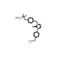 CC(C)(Oc1ccc(Cn2ncn(-c3ccc(OC(F)(F)F)cc3)c2=O)cc1)C(=O)O